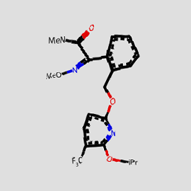 CNC(=O)/C(=N\OC)c1ccccc1COc1ccc(C(F)(F)F)c(OC(C)C)n1